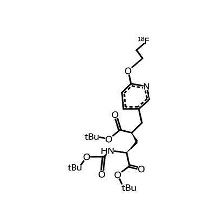 CC(C)(C)OC(=O)N[C@@H](C[C@H](Cc1ccc(OCC[18F])nc1)C(=O)OC(C)(C)C)C(=O)OC(C)(C)C